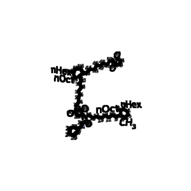 CCCCCCCCC1C(CCCCCC)CCC(C)C1CCCCCCCCN(C(=O)/C=C/c1ccccc1)C1CC(=O)N(CCCCCCCCC2C(CCCCCCCCN3C(=O)C=CC3=O)CCC(CCCCCC)C2CCCCCCCC)C1=O